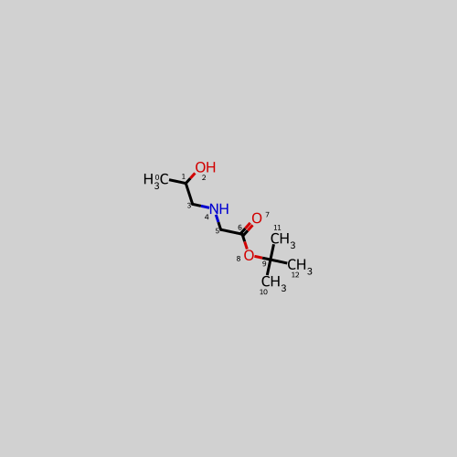 CC(O)CNCC(=O)OC(C)(C)C